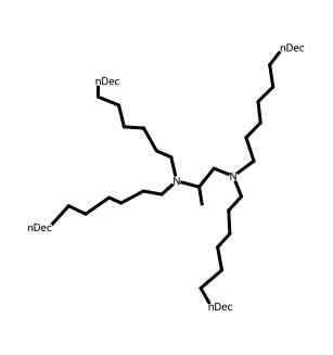 CCCCCCCCCCCCCCCCN(CCCCCCCCCCCCCCCC)CC(C)N(CCCCCCCCCCCCCCCC)CCCCCCCCCCCCCCCC